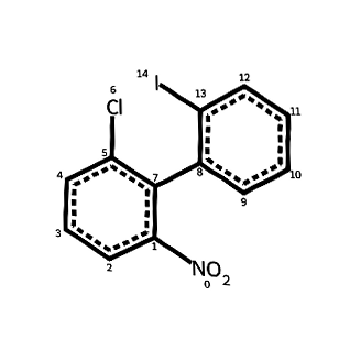 O=[N+]([O-])c1cccc(Cl)c1-c1ccccc1I